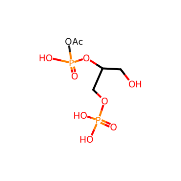 CC(=O)OP(=O)(O)OC(CO)COP(=O)(O)O